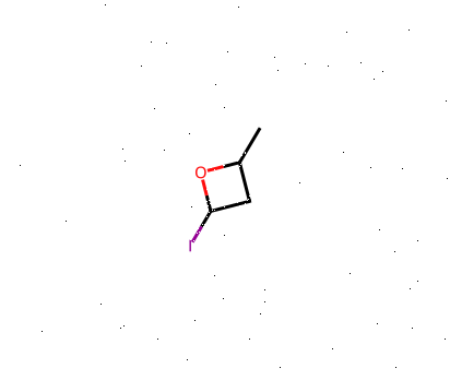 CC1CC(I)O1